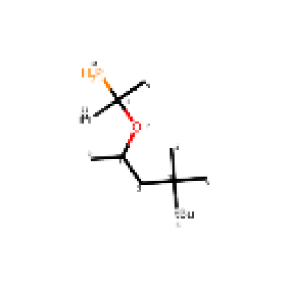 CC(CC(C)(C)C(C)(C)C)OC(C)(P)C(C)C